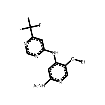 CCOc1cnc(NC(C)=O)cc1Nc1cc(C(C)(F)F)ncn1